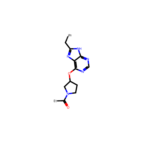 CCC(=O)N1CCC(Oc2ncnc3[nH]c(CC(C)C)nc23)C1